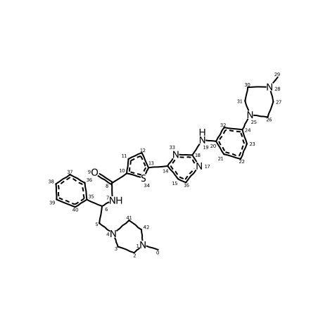 CN1CCN(CC(NC(=O)c2ccc(-c3ccnc(Nc4cccc(N5CCN(C)CC5)c4)n3)s2)c2ccccc2)CC1